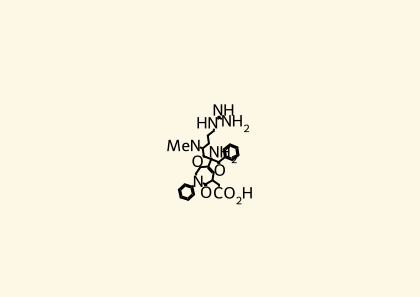 CNC(CCCNC(=N)N)C(=O)C(N)(C(=O)c1ccccc1)C1=CC(CC(=O)O)C(=O)N(c2ccccc2)CC1